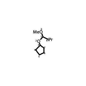 COC(OC1CCCC1)C(C)C